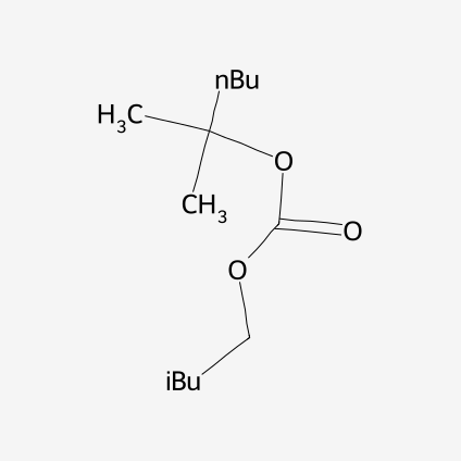 CCCCC(C)(C)OC(=O)OCC(C)CC